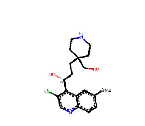 COc1ccc2ncc(Cl)c([C@H](O)CCC3(CO)CCNCC3)c2c1